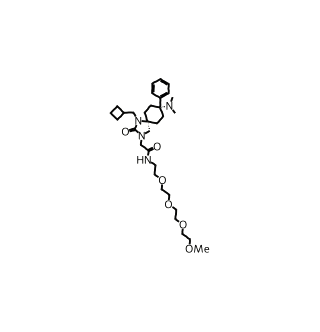 COCCOCCOCCOCCNC(=O)CN1C[C@]2(CC[C@@](c3ccccc3)(N(C)C)CC2)N(CC2CCC2)C1=O